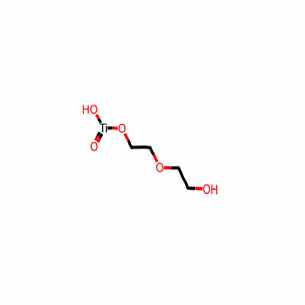 [O]=[Ti]([OH])[O]CCOCCO